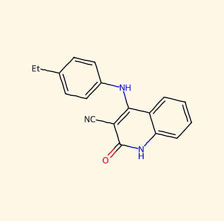 CCc1ccc(Nc2c(C#N)c(=O)[nH]c3ccccc23)cc1